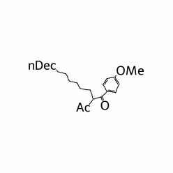 CCCCCCCCCCCCCCCCC(C(C)=O)C(=O)c1ccc(OC)cc1